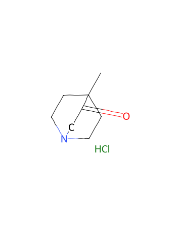 CC12CCN(CC1)CC2=O.Cl